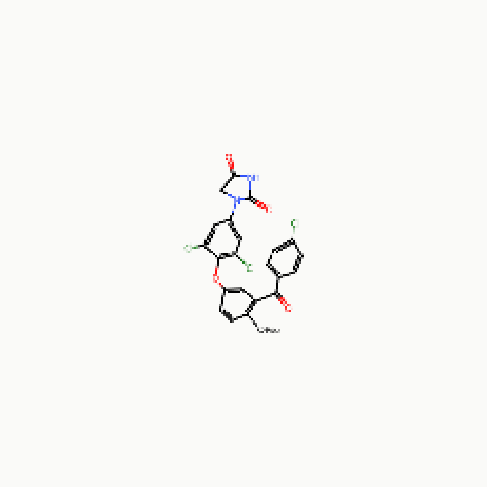 COc1ccc(Oc2c(Cl)cc(N3CC(=O)NC3=O)cc2Cl)cc1C(=O)c1ccc(Cl)cc1